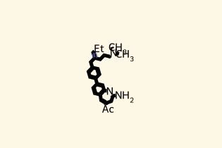 CC/C=C(\CCCN(C)C)Cc1ccc(-c2ccc3c(c2)N=C(N)CC(C(C)=O)=C3)cc1